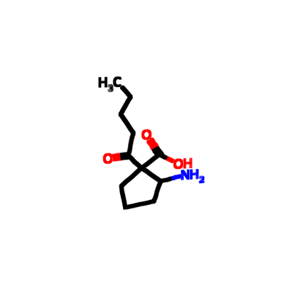 CCCCC(=O)C1(C(=O)O)CCCC1N